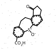 O=C(O)c1ccc2c(c1)[S+]([O-])c1ccc3c(c1CC2)C(=O)CC3